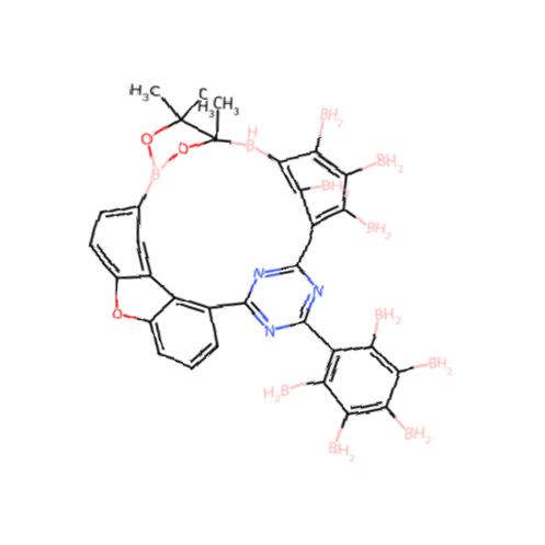 Bc1c(B)c(B)c(-c2nc3nc(n2)-c2cccc4oc5ccc(cc5c24)B2OC(C)(C)C(C)(Bc4c(B)c(B)c(B)c-3c4B)O2)c(B)c1B